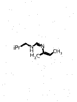 C/C=C(C)\N=C/NCC(C)C